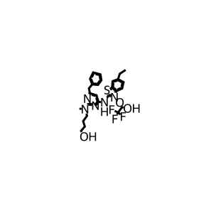 CCc1ccc2nc(Nc3cc(Cc4ccccc4)nc(N(C)CCCCO)n3)sc2c1.O=C(O)C(F)(F)F